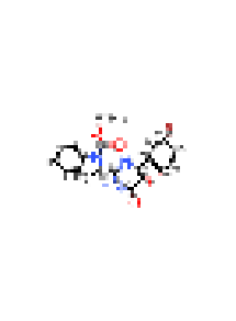 CC(C)(C)OC(=O)N1c2ccccc2C[C@H]1c1nc2c(oc3ccc(Br)cc32)c(=O)[nH]1